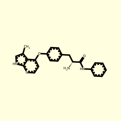 Cc1c[nH]c2nccc(Oc3ccc(C[C@@H](N)C(=O)Nc4ccccc4)cc3)c12